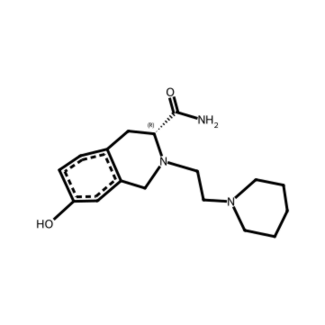 NC(=O)[C@H]1Cc2ccc(O)cc2CN1CCN1CCCCC1